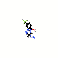 COc1c2ccc(C(F)(F)F)cc2nn1CC(C)(N)C#N